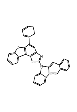 C1=CCCC(c2cc3nc(-n4c5ccccc5c5cc6ccccc6cc54)oc3c3c2oc2ccccc23)=C1